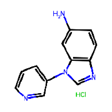 Cl.Nc1ccc2ncn(-c3cccnc3)c2c1